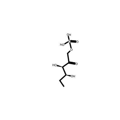 CC[C@H](O)[C@@H](O)C(=O)COP(=O)(O)O